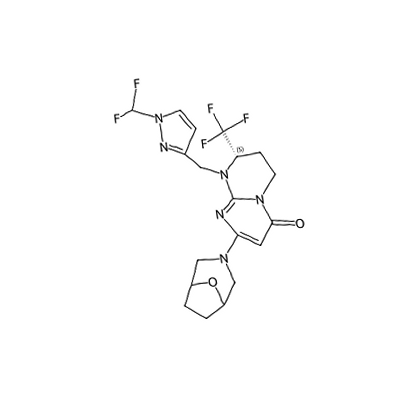 O=c1cc(N2CC3CCC(C2)O3)nc2n1CC[C@@H](C(F)(F)F)N2Cc1ccn(C(F)F)n1